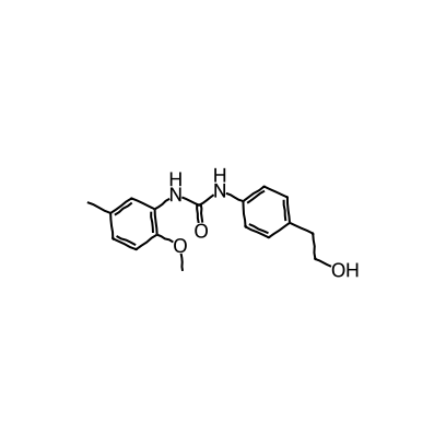 COc1ccc(C)cc1NC(=O)Nc1ccc(CCO)cc1